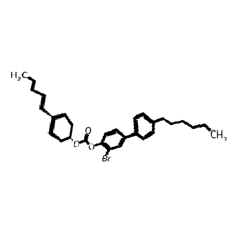 CCCCCCc1ccc(-c2ccc(OC(=O)O[C@H]3CC[C@H](CCCCC)CC3)c(Br)c2)cc1